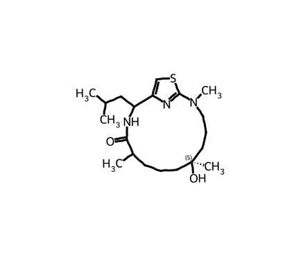 CC(C)CC1NC(=O)C(C)CCC[C@](C)(O)CCCN(C)c2nc1cs2